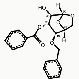 O=C(O[C@@H]1[C@@H](O)[C@@H]2OC[C@@H](O2)[C@H]1OCc1ccccc1)c1ccccc1